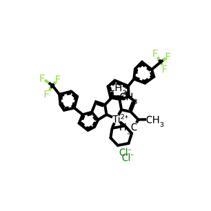 CC(C)C1=Cc2c(-c3ccc(C(F)(F)F)cc3)cccc2[CH]1[Ti+2]1([CH]2C(C(C)C)=Cc3c(-c4ccc(C(F)(F)F)cc4)cccc32)[CH]2CCCC[CH]21.[Cl-].[Cl-]